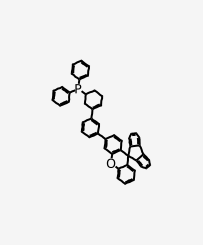 C1=C(c2cccc(-c3ccc4c(c3)Oc3ccccc3C43c4ccccc4-c4ccccc43)c2)CC(P(c2ccccc2)c2ccccc2)CC1